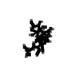 C=CC(CCC)[C@@H]1CC2OC(=O)[C@]34O[C@H]5OC(=O)[C@@H](OCC(=O)O)C51[C@@]23[C@H](O)[C@H]1OC(=O)C(C)[C@]14O